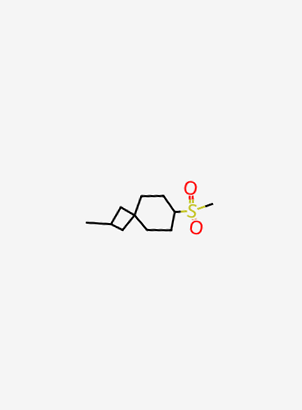 CC1CC2(CCC(S(C)(=O)=O)CC2)C1